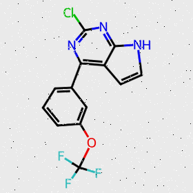 FC(F)(F)Oc1cccc(-c2nc(Cl)nc3[nH]ccc23)c1